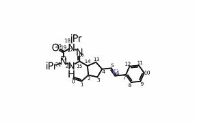 C=CC1CC(/C=C/c2ccccc2)CC1C1=NN(C(C)C)C(=O)N(C(C)C)N1